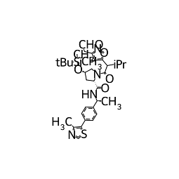 Cc1ncsc1-c1ccc([C@H](C)NC(=O)[C@@H]2C[C@@H](O[Si](C)(C)C(C)(C)C)CN2C(=O)C(c2cc(CC=O)no2)C(C)C)cc1